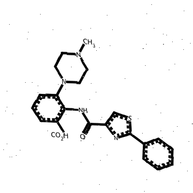 CN1CCN(c2cccc(C(=O)O)c2NC(=O)c2csc(-c3ccccc3)n2)CC1